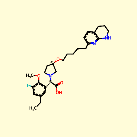 CCc1cc(F)c(OC)c([C@@H](C(=O)O)N2CC[C@@H](OCCCCCc3ccc4c(n3)NCCC4)C2)c1